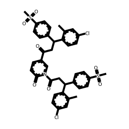 Cc1cc(Cl)ccc1C(CC(=O)c1ccc(=O)n(C(=O)CC(c2ccc(S(C)(=O)=O)cc2)c2ccc(Cl)cc2C)c1)c1ccc(S(C)(=O)=O)cc1